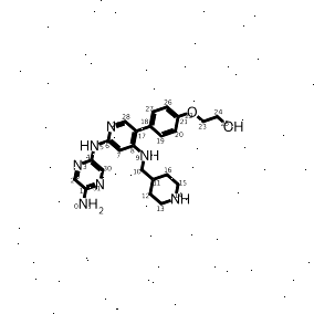 Nc1cnc(Nc2cc(NCC3CCNCC3)c(-c3ccc(OCCO)cc3)cn2)cn1